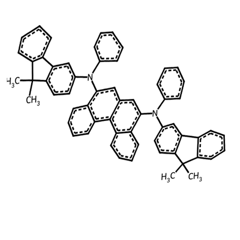 CC1(C)c2ccccc2-c2cc(N(c3ccccc3)c3cc4cc(N(c5ccccc5)c5ccc6c(c5)-c5ccccc5C6(C)C)c5ccccc5c4c4ccccc34)ccc21